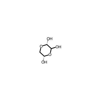 OC1O[C@H](O)CO[C@@H]1O